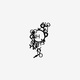 CC#CC(=O)N1C[C@H](C)[C@H](C(=O)N(C)C(C(=O)N[C@H]2Cc3nc(cs3)-c3ccc4c(c3)c(c(-c3cccnc3[C@H](C)OC)n4C)CC(C)(C)COC(=O)[C@@H]3CCCN(N3)C2=O)C(C)C)C1